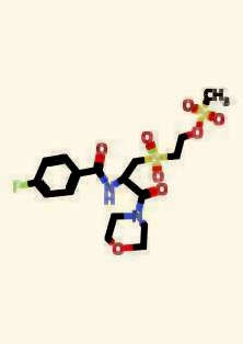 CS(=O)(=O)OCCS(=O)(=O)CC(NC(=O)c1ccc(F)cc1)C(=O)N1CCOCC1